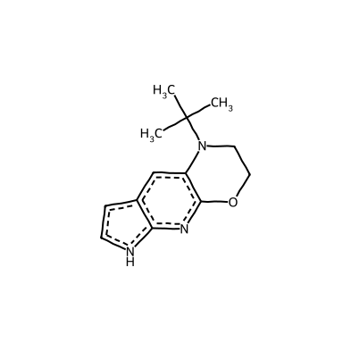 CC(C)(C)N1CCOc2nc3[nH]ccc3cc21